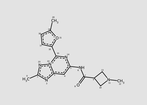 Cc1nc2cc(NC(=O)C3CN(C)C3)nc(-c3ccc(C)o3)n2n1